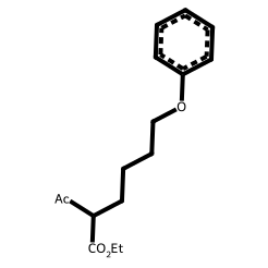 CCOC(=O)C(CCCCOc1ccccc1)C(C)=O